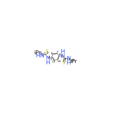 CC(C)NC(=S)Nc1ccc(NC(=S)NC(C)C)cc1